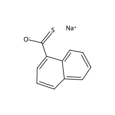 [Na+].[O-]C(=S)c1cccc2ccccc12